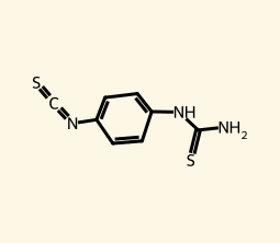 NC(=S)Nc1ccc(N=C=S)cc1